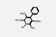 COC1=C(N)N(C#N)C(S(=O)(=O)O)C(OC)=C1c1ccccc1